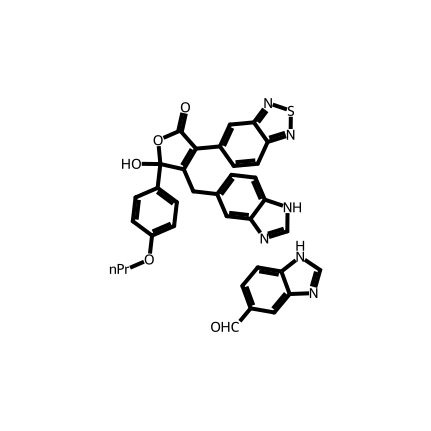 CCCOc1ccc(C2(O)OC(=O)C(c3ccc4nsnc4c3)=C2Cc2ccc3[nH]cnc3c2)cc1.O=Cc1ccc2[nH]cnc2c1